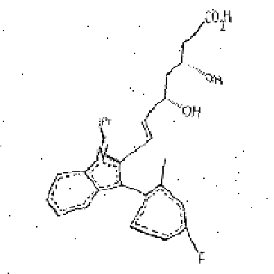 Cc1cc(F)ccc1-c1c(/C=C/[C@@H](O)C[C@@H](O)CC(=O)O)n(C(C)C)c2ccccc12